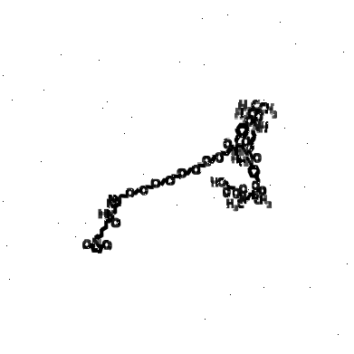 CN(CCN(C)C(=O)OCc1ccc(NC(=O)[C@H](CCCCNC(=O)OC(C)(C)C)NC(=O)[C@H](Cc2ccccc2)NC(=O)CCOCCOCCOCCOCCOCCOCCOCCOCCn2cc(CNC(=O)CCCCCN3C(=O)C=CC3=O)nn2)cc1)C(=O)OCC(=O)CO